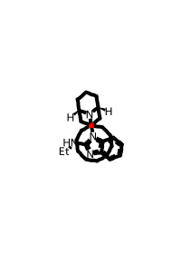 CCNc1nc2ccccc2n1C1C[C@H]2CCC[C@@H](C1)N2C1CCCCCCCCC1